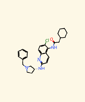 O=C(CC1CCCCC1)Nc1c(Cl)ccc2nc(N[C@@H]3CCN(Cc4ccccc4)C3)ccc12